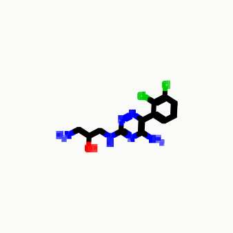 NCC(O)CNc1nnc(-c2cccc(Cl)c2Cl)c(N)n1